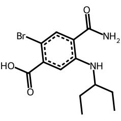 CCC(CC)Nc1cc(C(=O)O)c(Br)cc1C(N)=O